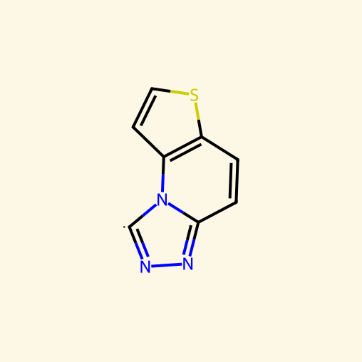 [c]1nnc2ccc3sccc3n12